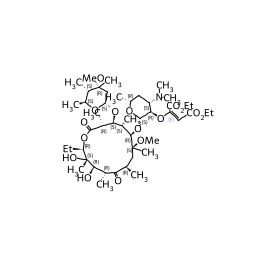 CCOC(=O)/C=C(/O[C@H]1[C@H](O[C@@H]2[C@@H](C)[C@H](O[C@H]3C[C@@](C)(OC)[C@@H](C)[C@H](C)O3)[C@@H](C)C(=O)O[C@H](CC)[C@@](C)(O)[C@H](O)[C@@H](C)C(=O)[C@H](C)C[C@]2(C)OC)O[C@H](C)C[C@@H]1N(C)C)C(=O)OCC